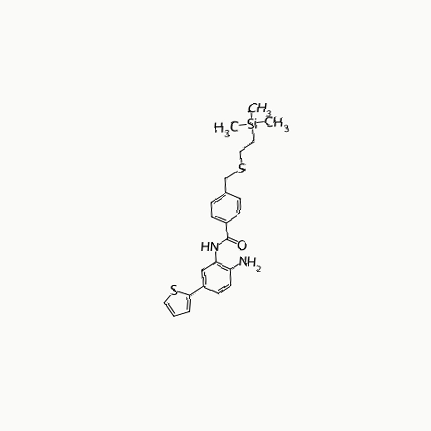 C[Si](C)(C)CCSCc1ccc(C(=O)Nc2cc(-c3cccs3)ccc2N)cc1